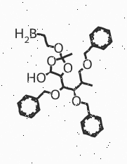 BCCOC1(C)OC(C(OCc2ccccc2)[C@H](OCc2ccccc2)C(C)COCc2ccccc2)[C@@H](O)O1